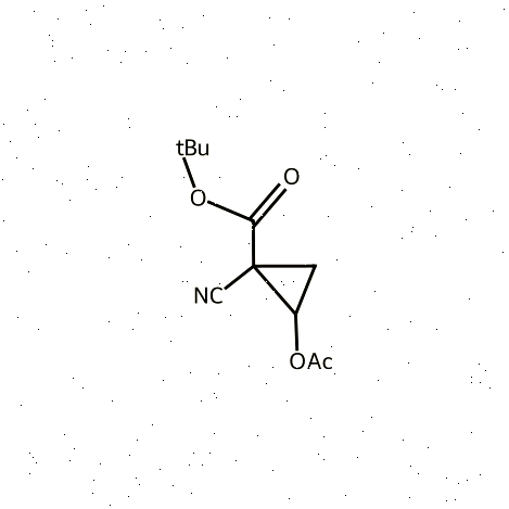 CC(=O)OC1CC1(C#N)C(=O)OC(C)(C)C